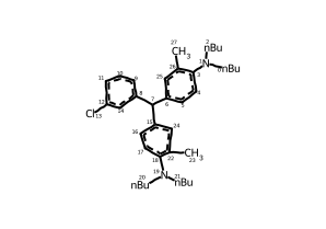 CCCCN(CCCC)c1ccc(C(c2cccc(Cl)c2)c2ccc(N(CCCC)CCCC)c(C)c2)cc1C